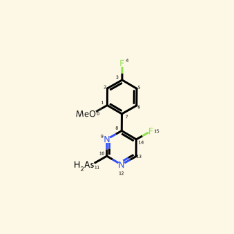 COc1cc(F)ccc1-c1nc([AsH2])ncc1F